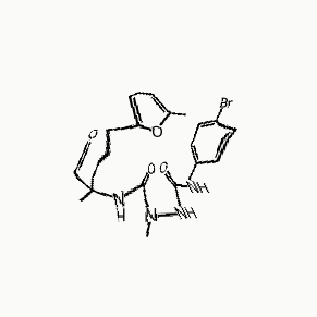 Cc1ccc(CCC(C)(C=O)NC(=O)N(C)NC(=O)Nc2ccc(Br)cc2)o1